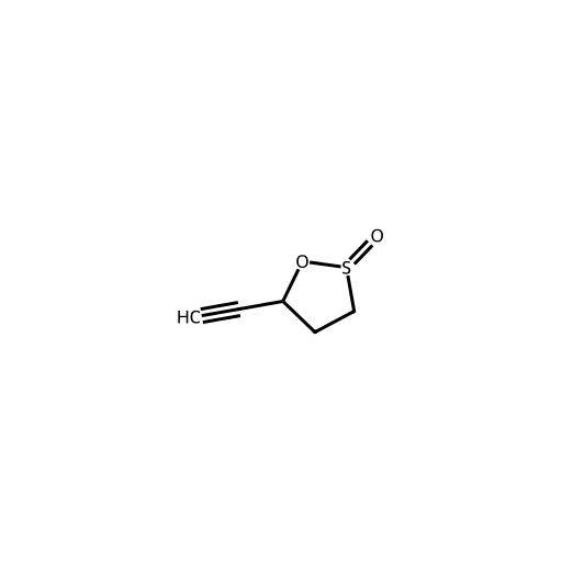 C#CC1CCS(=O)O1